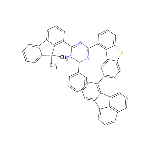 CC1(C)c2ccccc2-c2cccc(C3=NC(c4cccc5sc6ccc(-c7cccc8c7-c7cccc9cccc-8c79)cc6c45)=NC(c4ccccc4)N3)c21